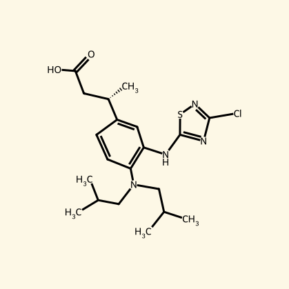 CC(C)CN(CC(C)C)c1ccc([C@@H](C)CC(=O)O)cc1Nc1nc(Cl)ns1